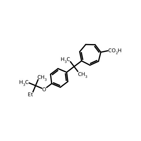 CCC(C)(C)Oc1ccc(C(C)(C)C2=CCC=C(C(=O)O)C=C2)cc1